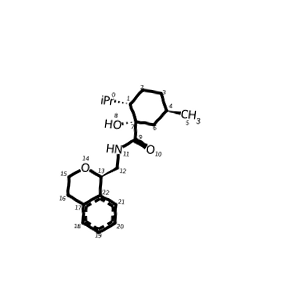 CC(C)[C@@H]1CC[C@@H](C)C[C@@]1(O)C(=O)NC[C@@H]1OCCc2ccccc21